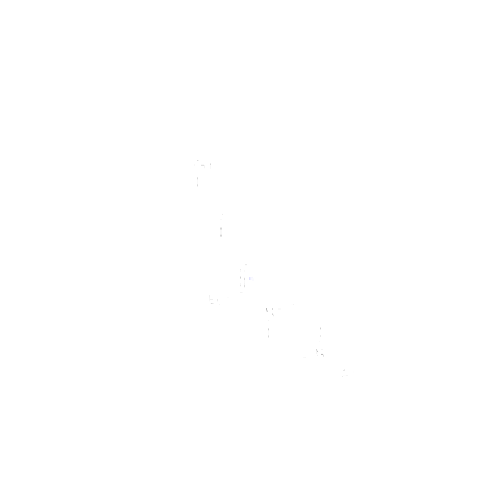 CC/C(=C\CCCO)N1CCN(C(C)=O)CC1